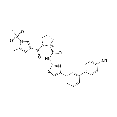 Cc1cc(C(=O)N2CCC[C@H]2C(=O)Nc2nc(-c3cccc(-c4ccc(C#N)cc4)c3)cs2)cn1S(C)(=O)=O